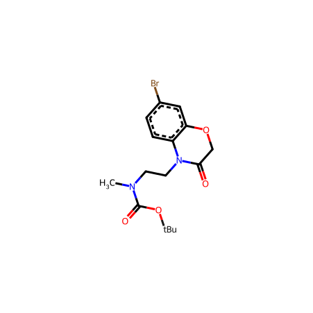 CN(CCN1C(=O)COc2cc(Br)ccc21)C(=O)OC(C)(C)C